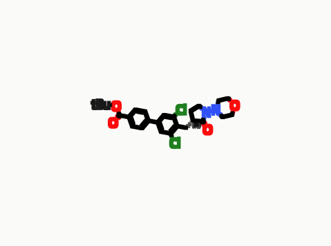 CC(C)(C)OC(=O)c1ccc(-c2cc(Cl)c(C[C@@H]3CCN(N4CCOCC4)C3=O)c(Cl)c2)cc1